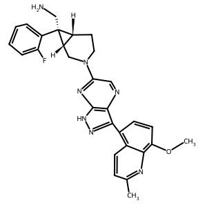 COc1ccc(-c2n[nH]c3nc(N4CC[C@@H]5[C@H](C4)[C@@]5(CN)c4ccccc4F)cnc23)c2ccc(C)nc12